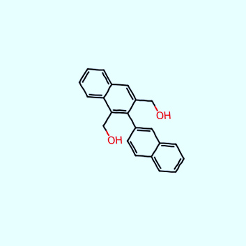 OCc1cc2ccccc2c(CO)c1-c1ccc2ccccc2c1